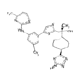 Cc1cc(Nc2nccc(C(F)(F)F)n2)cc(-c2cnc([C@](C)(O)[C@H]3CC[C@H](c4nn[nH]n4)CC3)s2)c1